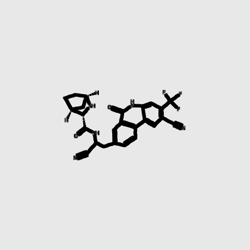 N#Cc1cc2c(cc1C(F)(F)F)[nH]c(=O)c1cc(CC(C#N)NC(=O)[C@H]3N[C@@H]4CC[C@H]3C4)ccc12